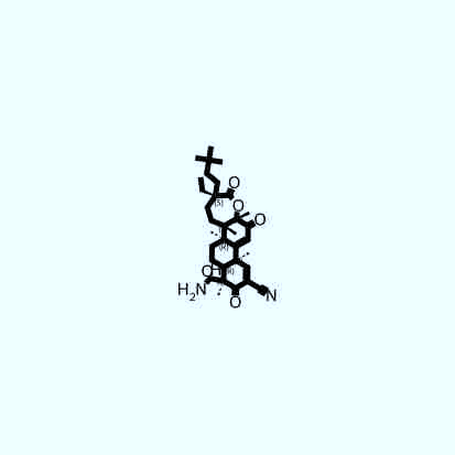 CC[C@]1(CCC(C)(C)C)CC[C@@]2(C)[C@]3(C)CC[C@H]4[C@](C)(C(N)=O)C(=O)C(C#N)=C[C@]4(C)C3=CC(=O)[C@@]2(C)OC1=O